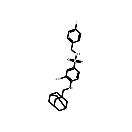 O=[N+]([O-])c1cc(S(=O)(=O)NCc2ccc(I)cc2)ccc1NCC12CC3CC(CC(C3)C1)C2